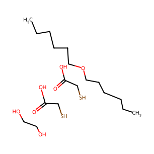 CCCCCCOCCCCCC.O=C(O)CS.O=C(O)CS.OCCO